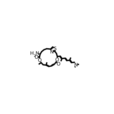 CC(/C=C/C(C)=C/C1Cc2nc(cs2)CCC[C@H](N)C(=O)OC(C)C/C(C)=C/C=C\C(=O)O1)=C\CN(C)C